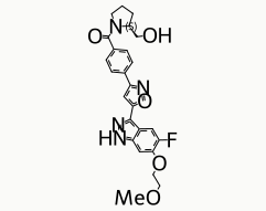 COCCOc1cc2[nH]nc(-c3cc(-c4ccc(C(=O)N5CCC[C@H]5CO)cc4)no3)c2cc1F